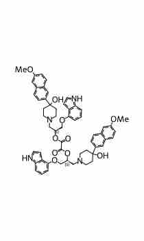 COc1ccc2cc(C3(O)CCN(C[C@@H](COc4cccc5[nH]ccc45)OC(=O)C(=O)O[C@H](COc4cccc5[nH]ccc45)CN4CCC(O)(c5ccc6cc(OC)ccc6c5)CC4)CC3)ccc2c1